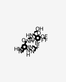 O=C(O)C[C@H](NC(=O)CNC(=O)c1cc(NC2=NCC(F)CN2)c2cn[nH]c2c1)c1cc(Br)cc(OC(F)(F)F)c1